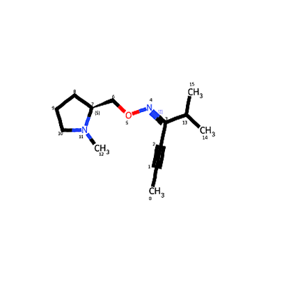 CC#C/C(=N\OC[C@@H]1CCCN1C)C(C)C